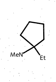 CCC1(NC)CCCC1